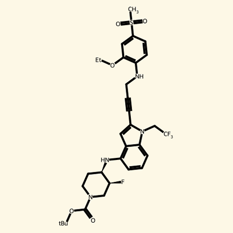 CCOc1cc(S(C)(=O)=O)ccc1NCC#Cc1cc2c(N[C@@H]3CCN(C(=O)OC(C)(C)C)C[C@@H]3F)cccc2n1CC(F)(F)F